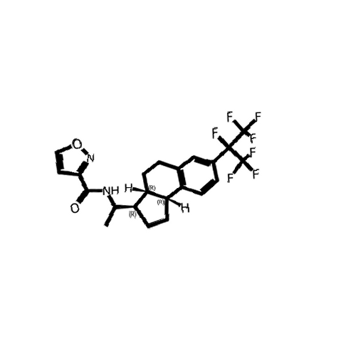 CC(NC(=O)c1ccon1)[C@@H]1CC[C@H]2c3ccc(C(F)(C(F)(F)F)C(F)(F)F)cc3CC[C@H]21